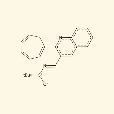 CC(C)(C)[S@@+]([O-])/N=C/c1cc2ccccc2nc1C1=CC=CC=CC1